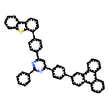 c1ccc(-c2nc(-c3ccc(-c4ccc5c6ccccc6c6ccccc6c5c4)cc3)cc(-c3ccc(-c4cccc5c4sc4ccccc45)cc3)n2)cc1